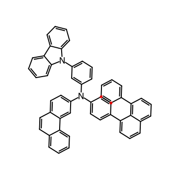 c1ccc(-c2cccc3cccc(-c4ccc(N(c5cccc(-n6c7ccccc7c7ccccc76)c5)c5ccc6ccc7ccccc7c6c5)cc4)c23)cc1